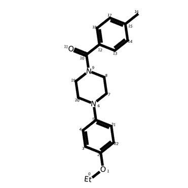 CCOc1ccc(N2CCN(C(=O)c3ccc(C)cc3)CC2)cc1